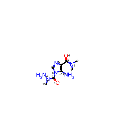 CN(C)C(=O)c1ncn(C(=O)N(C)N)c1N